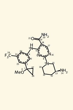 COC1(c2cc(Nc3nc(N4CCC[C@H](N)C4)ncc3C(N)=O)cc(C(F)(F)F)c2)CC1